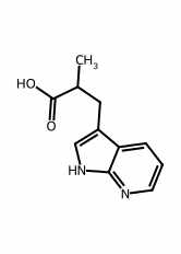 CC(Cc1c[nH]c2ncccc12)C(=O)O